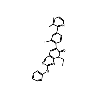 CCn1c(=O)c(-c2ccc(-c3nccnc3C)cc2Cl)cc2cnc(Nc3ccccc3)nc21